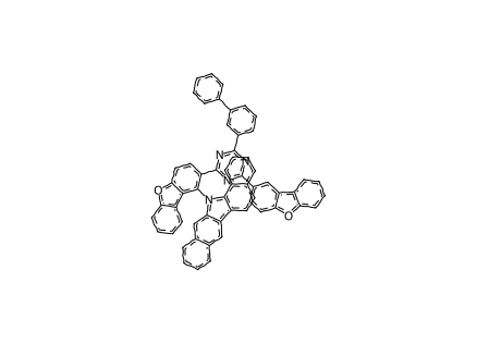 c1ccc(-c2cccc(-c3nc(-c4ccc5oc6ccccc6c5c4)nc(-c4ccc5oc6ccccc6c5c4-n4c5cc6ccccc6cc5c5ccc6ccccc6c54)n3)c2)cc1